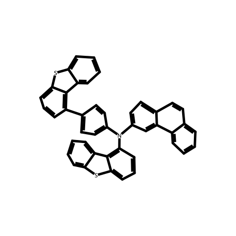 c1ccc2c(c1)ccc1ccc(N(c3ccc(-c4cccc5sc6ccccc6c45)cc3)c3cccc4sc5ccccc5c34)cc12